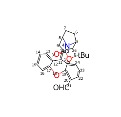 CC(C)(C)OC(=O)N1C2CCC1CC(=C1c3ccccc3Oc3c(C=O)cccc31)C2